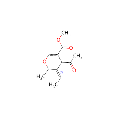 C/C=C1\C(C)OC=C(C(=O)OC)C1C(C)=O